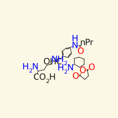 CCCC(=O)Nc1ccc(C=O)cc1.NC1CCCCC1.NCCC[C@H](N)C(=O)O.O=C1CCC(=O)O1